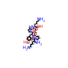 NCCCC[C@H](NC(=O)[C@@H]1CCCN1C(=O)[C@H](Cc1ccc(O)cc1)NC(=O)[C@@H]1CCCN1C(=O)[C@@H](N)CCCCN)C(=O)O